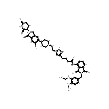 CCOc1cc(CN2C(=O)c3cccc(NC(=O)CCCc4cn(CCN5CCC(c6cc7c(cc6F)C(=O)N(C6CCC(=O)NC6=O)C7)CC5)nn4)c3C2=O)ccc1OC